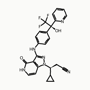 N#CC[C@@H](C1CC1)n1nc(Nc2ccc([C@@](O)(c3ccccn3)C(F)(F)F)cc2)c2c(=O)[nH]ccc21